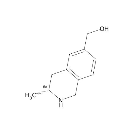 C[C@@H]1Cc2cc(CO)ccc2CN1